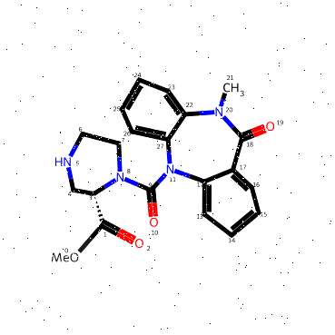 COC(=O)[C@@H]1CNCCN1C(=O)N1c2ccccc2C(=O)N(C)c2ccccc21